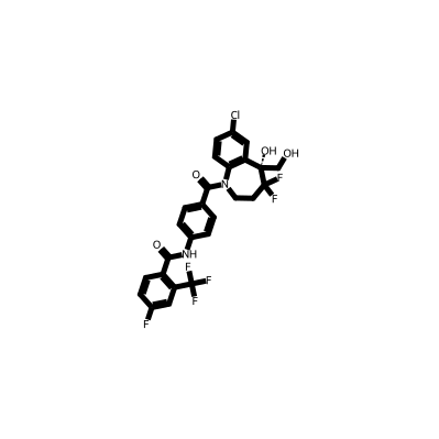 O=C(Nc1ccc(C(=O)N2CCC(F)(F)[C@](O)(CO)c3cc(Cl)ccc32)cc1)c1ccc(F)cc1C(F)(F)F